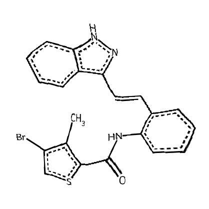 Cc1c(Br)csc1C(=O)Nc1ccccc1C=Cc1n[nH]c2ccccc12